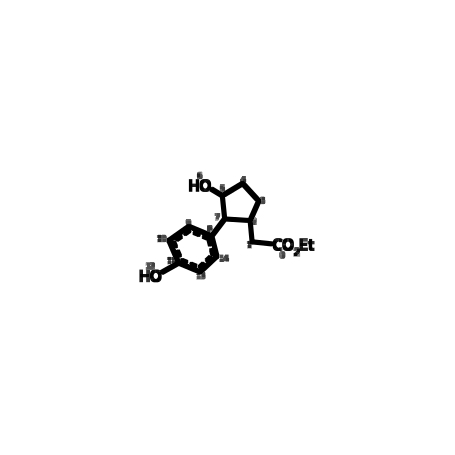 CCOC(=O)CC1CCC(O)C1c1ccc(O)cc1